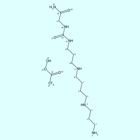 NCCCNCCCCNCCCNC(=O)NCC(N)=O.O=C(OO)C(F)(F)F